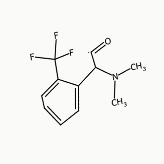 CN(C)C([C]=O)c1ccccc1C(F)(F)F